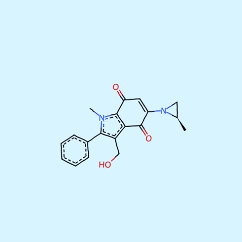 C[C@@H]1CN1C1=CC(=O)c2c(c(CO)c(-c3ccccc3)n2C)C1=O